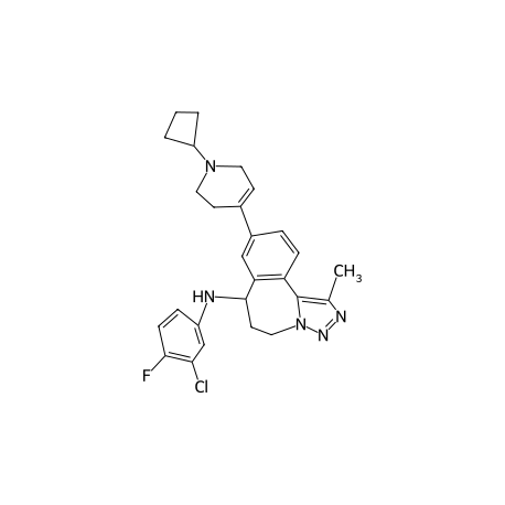 Cc1nnn2c1-c1ccc(C3=CCN(C4CCC4)CC3)cc1C(Nc1ccc(F)c(Cl)c1)CC2